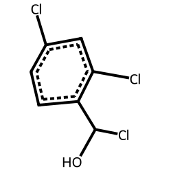 OC(Cl)c1ccc(Cl)cc1Cl